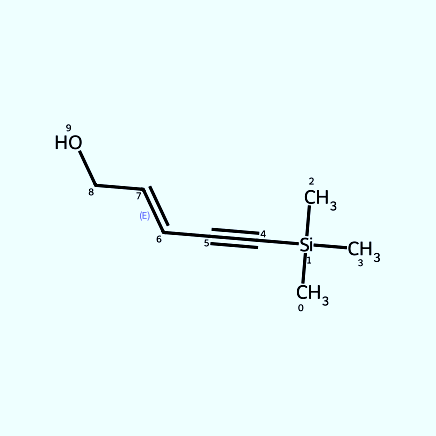 C[Si](C)(C)C#C/C=C/CO